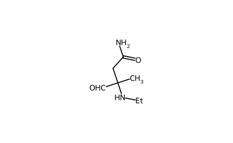 CCNC(C)(C=O)CC(N)=O